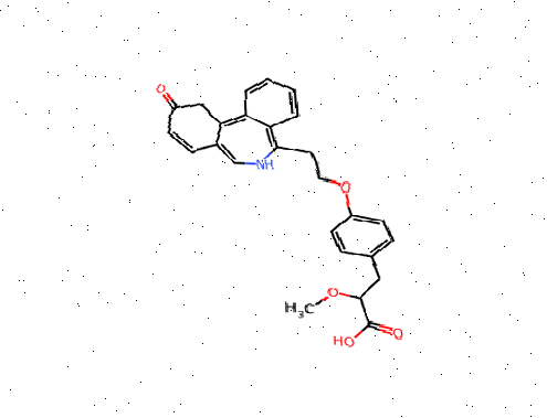 COC(Cc1ccc(OCCC2=c3ccccc3=C3CC(=O)C=CC3=CN2)cc1)C(=O)O